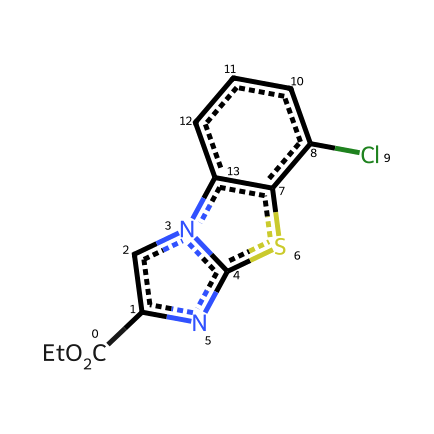 CCOC(=O)c1cn2c(n1)sc1c(Cl)cccc12